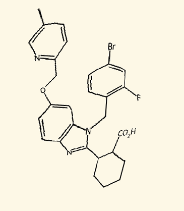 Cc1ccc(COc2ccc3nc(C4CCCCC4C(=O)O)n(Cc4ccc(Br)cc4F)c3c2)nc1